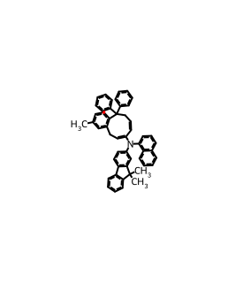 Cc1ccc2c(c1)C/C=C(N(c1ccc3c(c1)C(C)(C)c1ccccc1-3)c1cccc3ccccc13)\C=C/CC2(c1ccccc1)c1ccccc1